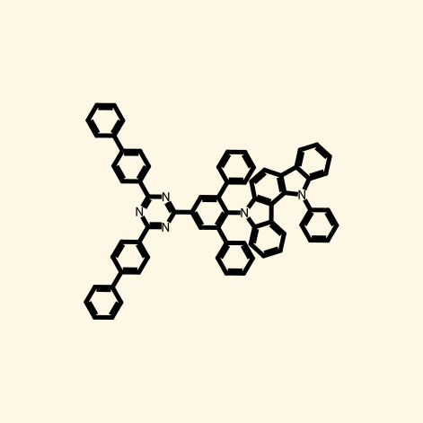 c1ccc(-c2ccc(-c3nc(-c4ccc(-c5ccccc5)cc4)nc(-c4cc(-c5ccccc5)c(-n5c6ccccc6c6c5ccc5c7ccccc7n(-c7ccccc7)c56)c(-c5ccccc5)c4)n3)cc2)cc1